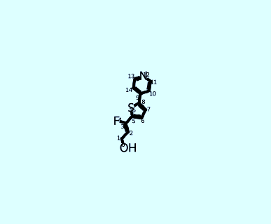 OC/C=C(\F)c1ccc(-c2ccncc2)s1